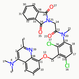 Cc1cc(N(C)C)c2cccc(OCc3c(Cl)ccc(N(C)C(=O)CN4C(=O)c5ccccc5C4=O)c3Cl)c2n1